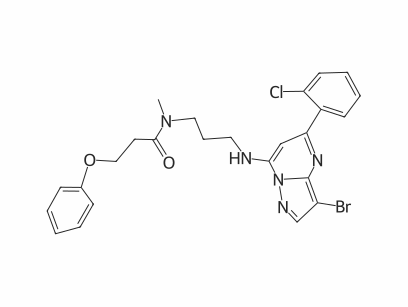 CN(CCCNc1cc(-c2ccccc2Cl)nc2c(Br)cnn12)C(=O)CCOc1ccccc1